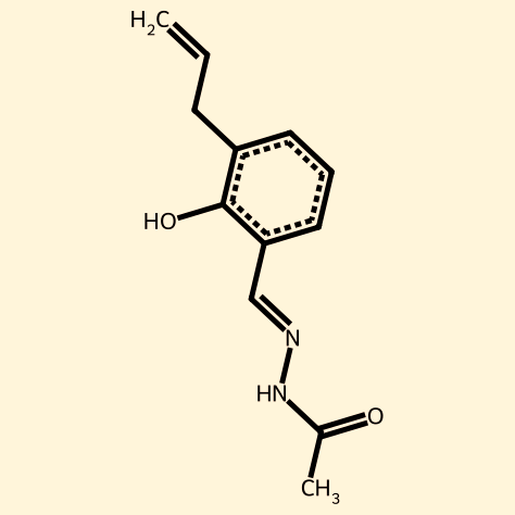 C=CCc1cccc(/C=N/NC(C)=O)c1O